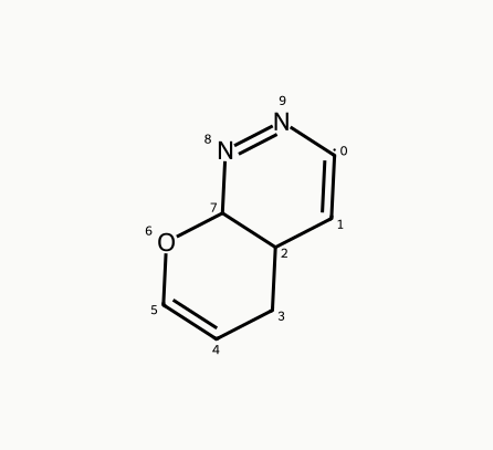 [C]1=CC2CC=COC2N=N1